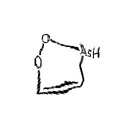 C1=C[AsH]OO1